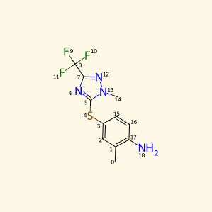 Cc1cc(Sc2nc(C(F)(F)F)nn2C)ccc1N